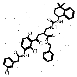 CC1(C)CCC(NC(=O)NCC(CC(=O)c2c(Cl)ccc(NC(=O)Cc3cccc(Cl)c3)c2Cl)C(=O)OCc2ccccc2)c2ccccc21